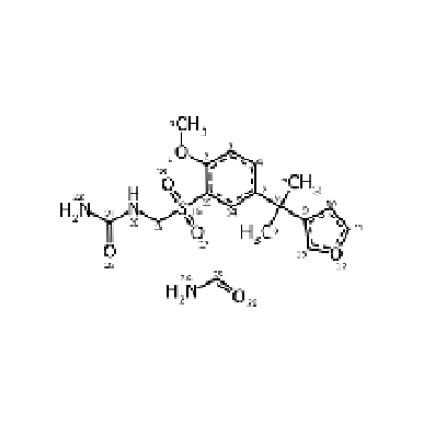 COc1ccc(C(C)(C)c2ccoc2)cc1S(=O)(=O)CNC(N)=O.NC=O